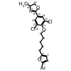 CC(=O)c1ccc(CCCCCOc2c(Cl)cc(C3=NC(C)CO3)cc2Cl)o1